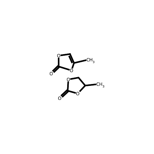 CC1COC(=O)O1.Cc1coc(=O)o1